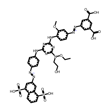 CCON(CCO)c1nc(Nc2ccc(/N=N/c3cc(S(=O)(=O)O)c4cccc(S(=O)(=O)O)c4c3)cc2)nc(Nc2ccc(/N=N/c3cc(C(=O)O)cc(C(=O)O)c3)cc2OC)n1